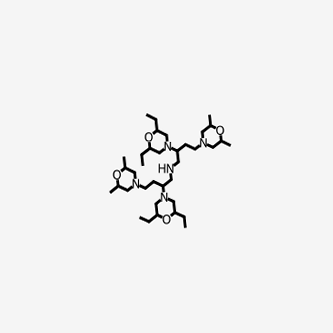 CCC1CN(C(CCN2CC(C)OC(C)C2)CNCC(CCN2CC(C)OC(C)C2)N2CC(CC)OC(CC)C2)CC(CC)O1